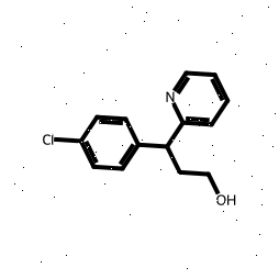 OCCC(c1ccc(Cl)cc1)c1ccccn1